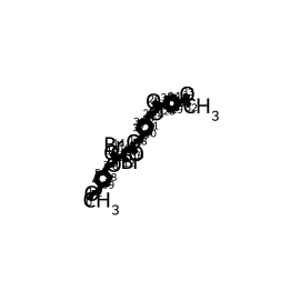 COCC1CCC(COC(=O)C(Br)C(Br)C(=O)OCC2CCC(COC(=O)c3ccc(C(C)=O)cc3)CC2)CC1